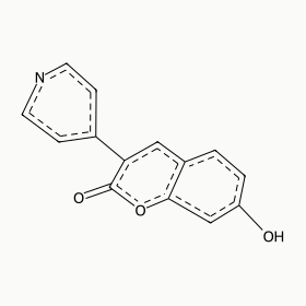 O=c1oc2cc(O)ccc2cc1-c1ccncc1